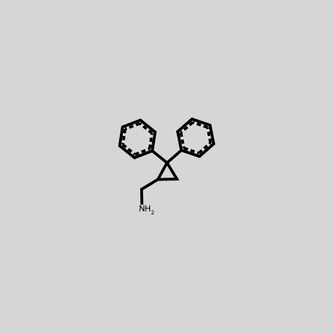 NCC1CC1(c1ccccc1)c1ccccc1